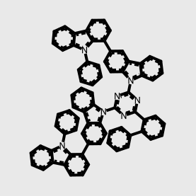 c1ccc(-c2ccccc2-c2nc(-n3c4ccccc4c4cc(-c5cccc6c7ccccc7n(-c7ccccc7)c56)ccc43)nc(-n3c4ccccc4c4cc(-c5cccc6c7ccccc7n(-c7ccccc7)c56)ccc43)n2)cc1